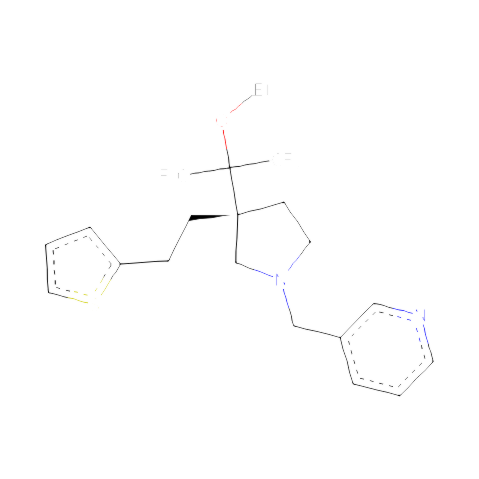 CCOC(C(F)(F)F)(C(F)(F)F)[C@]1(CCc2cccs2)CCN(Cc2cccnc2)C1